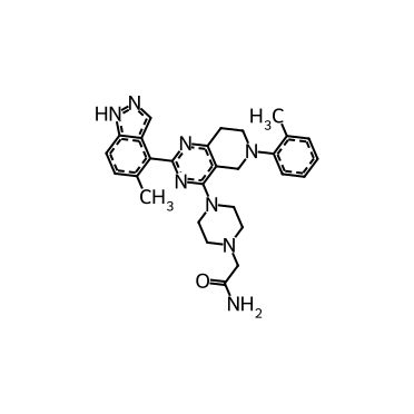 Cc1ccccc1N1CCc2nc(-c3c(C)ccc4[nH]ncc34)nc(N3CCN(CC(N)=O)CC3)c2C1